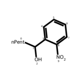 CCCCCC(O)c1ccccc1[N+](=O)[O-]